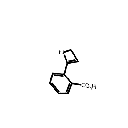 O=C(O)c1ccccc1C1=CC[IH]1